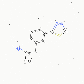 N[C@@H](Cc1cccc(-c2nncs2)c1)C(=O)O